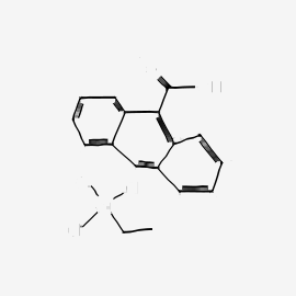 CC[Si](Cl)(Cl)Cl.O=C(O)c1c2ccccc2cc2ccccc12